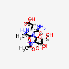 CC(=O)N[C@H]1C(N(C(=O)[C@H](C)N)[C@H](CCC(=O)O)C(N)=O)O[C@H](CO)[C@H](O)[C@@H]1O